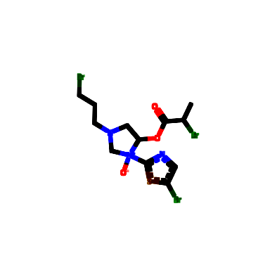 CC(Br)C(=O)OC1CN(CCCBr)C[N+]1([O-])c1ncc(Br)s1